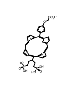 O=C(O)COc1ccc(C2=C3C=CC(=N3)C=C3C=CC(=N3)C(C(CCP(=O)(O)O)CCP(=O)(O)O)=C3C=CC(=N3)C=C3C=CC2=N3)cc1